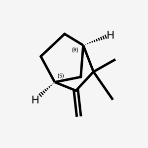 C=C1[C@H]2CC[C@H](C2)C1(C)C